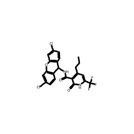 CCCc1cc(C(F)(F)F)[nH]c(=O)c1C(=O)NC1c2ccc(Cl)cc2Oc2cc(Cl)ccc21